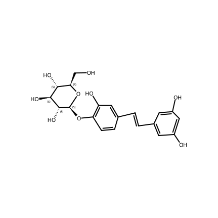 OC[C@H]1O[C@@H](Oc2ccc(C=Cc3cc(O)cc(O)c3)cc2O)[C@H](O)[C@@H](O)[C@@H]1O